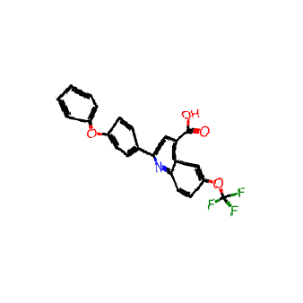 O=C(O)c1cc(-c2ccc(Oc3ccccc3)cc2)nc2ccc(OC(F)(F)F)cc12